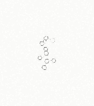 C1=CCC(c2cccc3c2oc2c(-c4ccc5ccc(N(c6ccccc6)c6cc(-c7ccccc7)cc(-c7ccccc7)c6)cc5c4)cccc23)C=C1